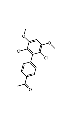 COc1cc(OC)c(Cl)c(-c2ccc(C(C)=O)cc2)c1Cl